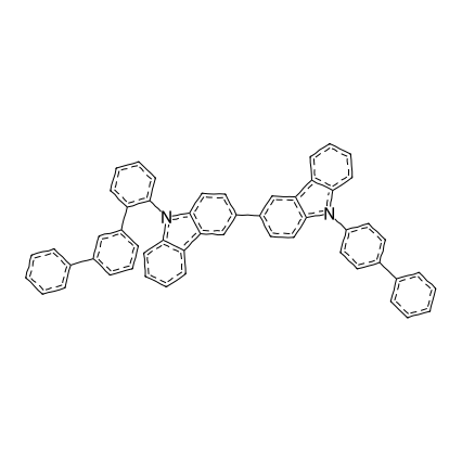 c1ccc(-c2ccc(-n3c4ccccc4c4cc(-c5ccc6c(c5)c5ccccc5n6-c5ccccc5-c5cccc(-c6ccccc6)c5)ccc43)cc2)cc1